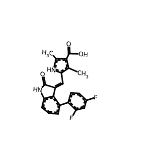 Cc1[nH]c(/C=C2\C(=O)Nc3cccc(-c4ccc(F)cc4F)c32)c(C)c1C(=O)O